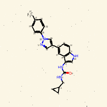 O=C(NCC1CC1)Nc1c[nH]c2ccc(-c3cnn(-c4ccc(C(F)(F)F)cc4)c3)cc12